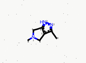 Cc1n[nH]c2c1CN(C)C2